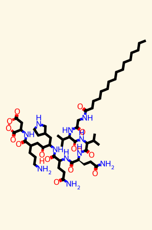 CCCCCCCCCCCCCCCC(=O)NCC(=O)NC(C(C)C)C(O)NC(C(=O)N[C@@H](CCC(N)=O)C(=O)NC(CCC(N)=O)C(=O)NC(CC1CCNC1)C(O)CC(CCCN)C(=O)NC1CC(=O)OOC1=O)C(C)C